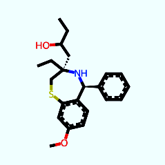 CCC(O)C[C@@]1(CC)CSc2cc(OC)ccc2[C@H](c2ccccc2)N1